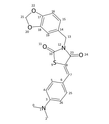 CN(C)c1ccc(/C=C2\SC(=O)N(Cc3ccc4c(c3)OCO4)C2=O)cc1